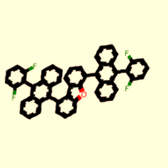 Fc1cccc(F)c1-c1c2ccccc2c(-c2cccc3c2oc2cccc(-c4c5ccccc5c(-c5c(F)cccc5F)c5ccccc45)c23)c2ccccc12